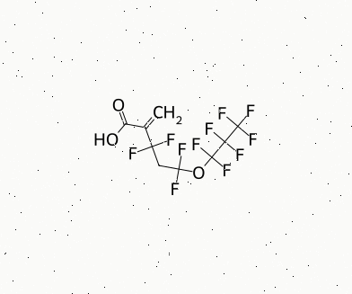 C=C(C(=O)O)C(F)(F)CC(F)(F)OC(F)(F)C(F)(F)C(F)(F)F